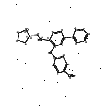 COc1ccc(Oc2cc(-c3ccccc3)ccc2NC[C@@H]2CCCN2)cc1